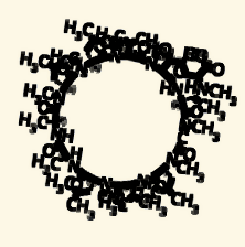 CC[C@H]1NC(=O)C([C@@H](O)[C@@H](C)CC(NC)C(=O)O)N(C)C(=O)C(C(C)C)N(C)C(=O)[C@@H](CC(C)C)N(C)C(=O)[C@@H](CC(C)C)N(C)C(=O)[C@@H](C)NC(=O)[C@@H](C)NC(=O)[C@@H](CC(C)C)N(C)C(=O)[C@@H](C(C)C)NC(=O)[C@@H](CC(C)C)N(C)C(=O)CN(C)C1=O